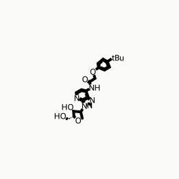 CC(C)(C)c1ccc(OCC(=O)Nc2ccnc3c2nnn3C2CO[C@H](CO)[C@H]2O)cc1